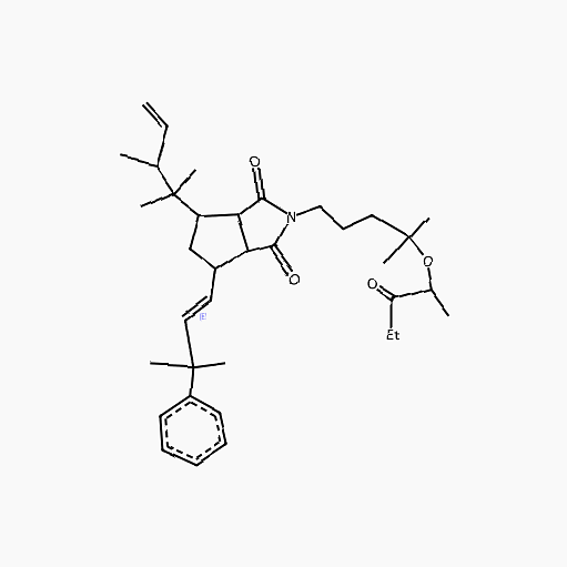 C=CC(C)C(C)(C)C1CC(/C=C/C(C)(C)c2ccccc2)C2C(=O)N(CCCC(C)(C)OC(C)C(=O)CC)C(=O)C21